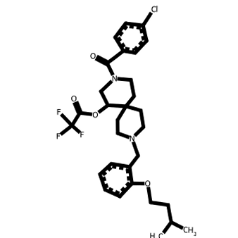 CC(C)CCOc1ccccc1CN1CCC2(CC1)CCN(C(=O)c1ccc(Cl)cc1)CC2OC(=O)C(F)(F)F